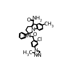 Cc1ccc2c(c1)c(C(N)=O)c1n2C[C@@](NC(=O)c2ccc(-n3cnnc3C)cc2Cl)(c2ccccc2)CC1